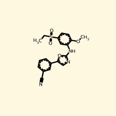 CCS(=O)(=O)c1ccc(OC)c(Nc2ncc(-c3cccc(C#N)c3)o2)c1